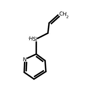 C=CC[SiH]c1ccccn1